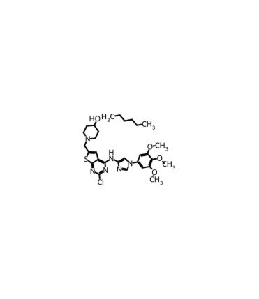 CCCCCC.COc1cc(-n2cnc(Nc3nc(Cl)nc4sc(CN5CCC(O)CC5)cc34)c2)cc(OC)c1OC